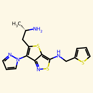 C[C@H](N)Cc1sc2c(NCc3cccs3)snc2c1-n1cccn1